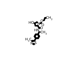 C=CCOC(=O)N1CC(O)CC1C(=O)N[C@@H](C)c1ccc(-c2scnc2C)cc1